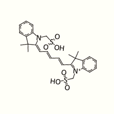 CC1(C)C(=CC=CC=CC2=[N+](CS(=O)(=O)O)c3ccccc3C2(C)C)N(CS(=O)(=O)O)c2ccccc21